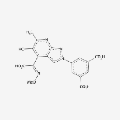 CON=C(C(=O)O)c1c(O)c(C)nc2nn(-c3cc(C(=O)O)cc(C(=O)O)c3)cc12